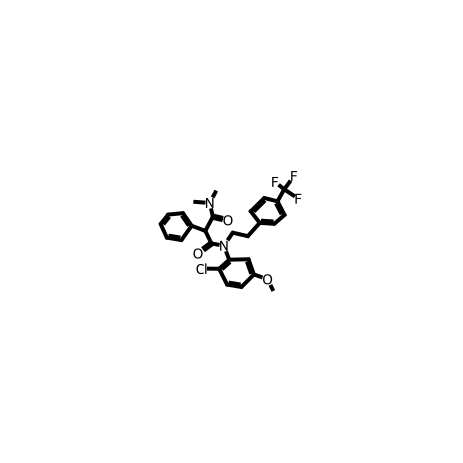 COc1ccc(Cl)c(N(CCc2ccc(C(F)(F)F)cc2)C(=O)C(C(=O)N(C)C)c2ccccc2)c1